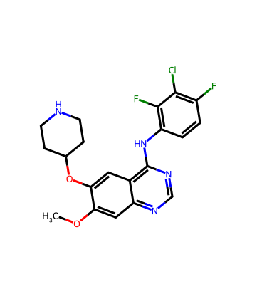 COc1cc2ncnc(Nc3ccc(F)c(Cl)c3F)c2cc1OC1CCNCC1